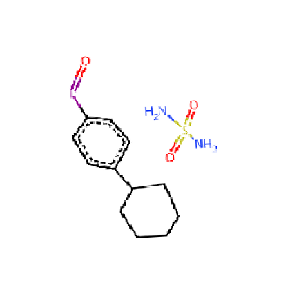 NS(N)(=O)=O.O=Ic1ccc(C2CCCCC2)cc1